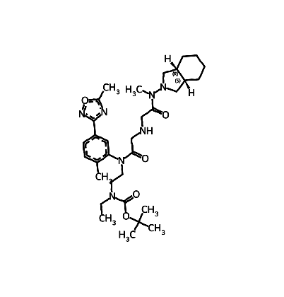 CCN(CCN(C(=O)CNCC(=O)N(C)N1C[C@H]2CCCC[C@H]2C1)c1cc(-c2noc(C)n2)ccc1C)C(=O)OC(C)(C)C